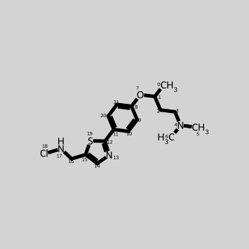 CC(CCN(C)C)Oc1ccc(-c2ncc(CNCl)s2)cc1